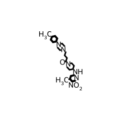 Cc1ccc(N2CCN(CCCC(=O)N3CCC(Nc4cc(C)c([N+](=O)[O-])cn4)CC3)CC2)cc1